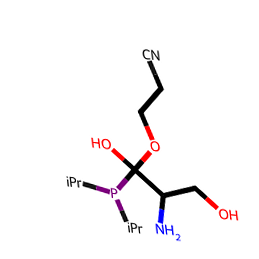 CC(C)P(C(C)C)C(O)(OCCC#N)C(N)CO